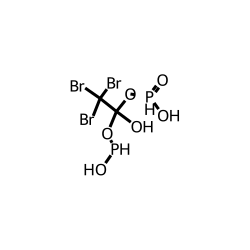 O=[PH](O)OC(O)(OPO)C(Br)(Br)Br